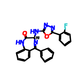 O=C1Nc2ccccc2C(c2ccccc2)=N[C@@H]1Nc1nnc(-c2ccccc2F)o1